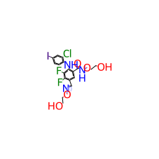 O=C(NOCCO)c1cc(/C=N/OCCO)c(F)c(F)c1Nc1ccc(I)cc1Cl